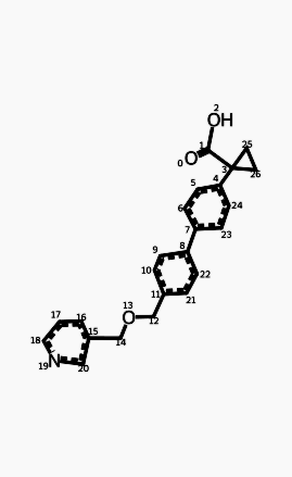 O=C(O)C1(c2ccc(-c3ccc(COCc4cccnc4)cc3)cc2)CC1